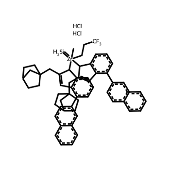 Cl.Cl.[CH3][Zr](=[SiH2])([CH2]CC(F)(F)F)([CH]1C(CC23CCC(CC2)C3)=Cc2c(-c3ccc4ccccc4c3)cccc21)[CH]1C(CC23CCC(CC2)C3)=Cc2c(-c3ccc4ccccc4c3)cccc21